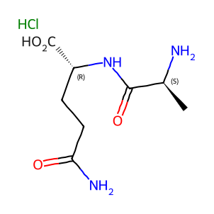 C[C@H](N)C(=O)N[C@H](CCC(N)=O)C(=O)O.Cl